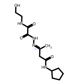 C/C(CC(=O)NC1CCCC1)=N\NC(=O)C(=O)NCCO